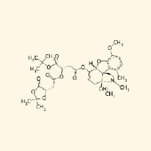 COc1ccc(C)c2c1O[C@H]1C(OC(=O)C[C@H](OC(=O)C[C@@H]3OC(C)(C)OC3=O)C(=O)OC(C)(C)C)=CC[C@@]3(O)[C@@H](C)N(C)CC[C@]213